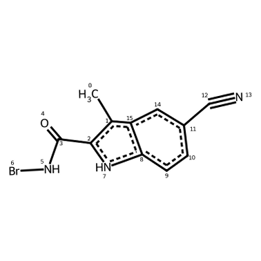 Cc1c(C(=O)NBr)[nH]c2ccc(C#N)cc12